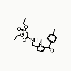 CCOP(=O)(CC(=O)NCc1ccc(C(=O)c2ccc(C)cc2)n1C)OCC